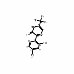 O=c1[nH]c(C(F)(F)F)cnc1-c1ccc(Cl)cc1F